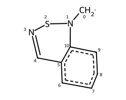 [CH2]N1SN=Cc2ccccc21